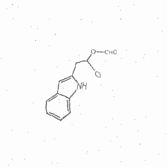 O=COC(Cl)Cc1cc2ccccc2[nH]1